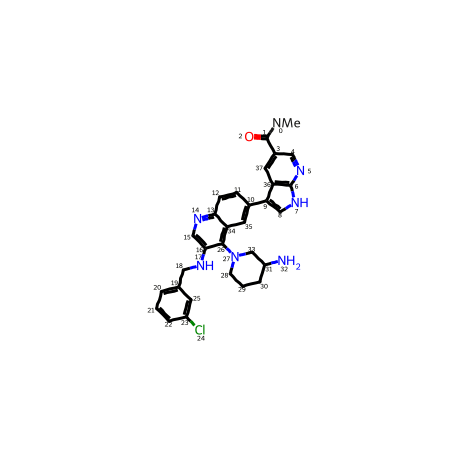 CNC(=O)c1cnc2[nH]cc(-c3ccc4ncc(NCc5cccc(Cl)c5)c(N5CCCC(N)C5)c4c3)c2c1